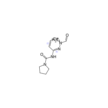 C/C=C\C(=N/N(C)C=O)NC(=O)N1CCCC1